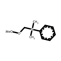 COOC[Si](C)(C)c1ccccc1